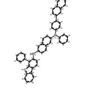 c1ccc(-c2c(Nc3ccc4cc(N(c5ccccc5)c5ccc(-c6ccc7ccccc7c6)cc5)ccc4c3)ccc3c2sc2ccccc23)cc1